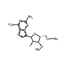 CCCCOC[C@H]1OC(c2cnc3c(N)nc(N)nn23)[C@H](F)[C@@H]1OCCCC